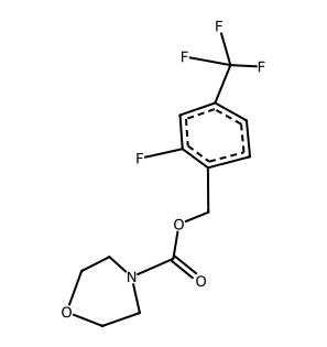 O=C(OCc1ccc(C(F)(F)F)cc1F)N1CCOCC1